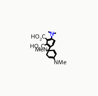 CNC1=CCC(NC)(c2ccc(N(C)C)c(C(=O)O)c2C(=O)O)C=C1